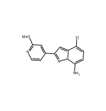 COc1cc(-c2cc3c(Cl)ccc(N)n3n2)ccn1